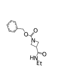 CCNC(=O)C1CN(C(=O)OCc2ccccc2)C1